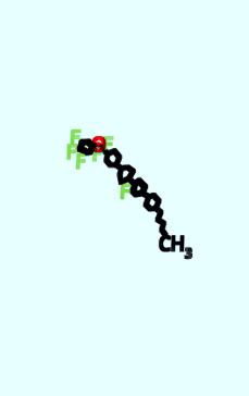 CCCCCCC1CCC(c2ccc(C3CCC(C4CCC(C(F)(F)Oc5cc(F)c(F)c(F)c5)CC4)CC3)c(F)c2)CC1